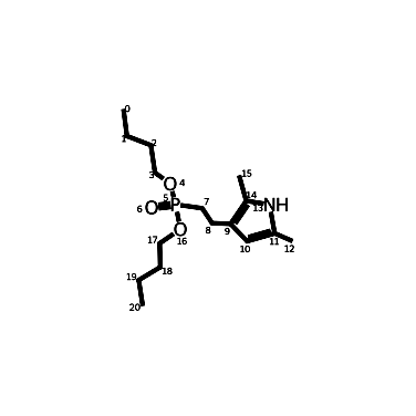 CCCCOP(=O)(CCc1cc(C)[nH]c1C)OCCCC